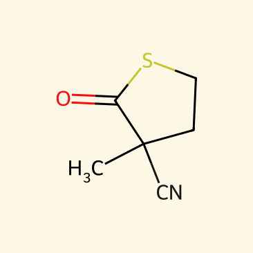 CC1(C#N)CCSC1=O